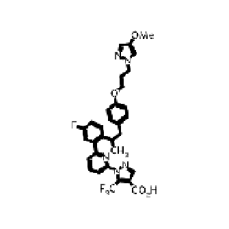 COc1cnn(CCCOc2ccc(CC(C)c3ccc(F)cc3-c3cccc(-n4ncc(C(=O)O)c4C(F)(F)F)n3)cc2)c1